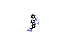 C[C@@H](N[C@@H]1CCCc2c1[nH]c1ccc(-c3cnn(C)c3)cc21)c1ccccc1